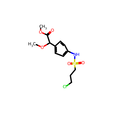 COC(=O)C(OC)c1ccc(NS(=O)(=O)CCCCl)cc1